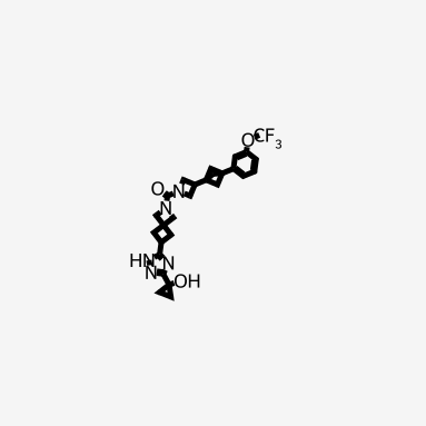 O=C(N1CC(C23CC(c4cccc(OC(F)(F)F)c4)(C2)C3)C1)N1CC2(CC(c3nc(C4(O)CC4)n[nH]3)C2)C1